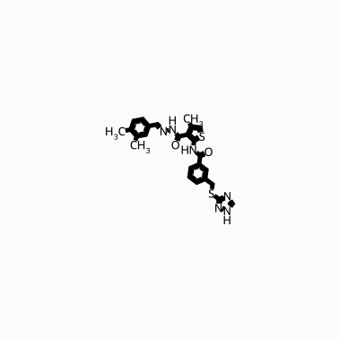 Cc1ccc(C=NNC(=O)c2c(C)csc2NC(=O)c2cccc(CSc3nc[nH]n3)c2)cc1C